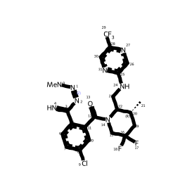 CN/N=N\C(=N)c1ccc(Cl)cc1C(=O)N1CC(F)(F)C[C@@H](C)C1CNc1cnc(C(F)(F)F)cn1